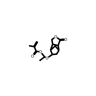 C=C(C)C(=O)OC(C)OC1CC2CC1C1COC(=O)C21